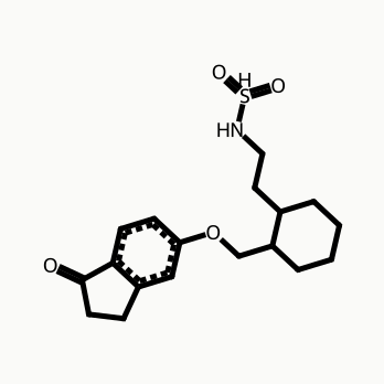 O=C1CCc2cc(OCC3CCCCC3CCN[SH](=O)=O)ccc21